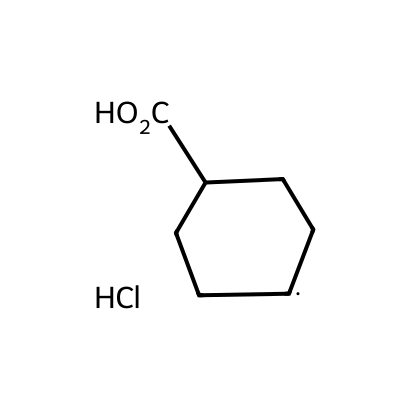 Cl.O=C(O)C1CC[CH]CC1